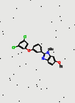 [CH2]COc1ccc2nc(-c3cccc(Oc4cc(Cl)cc(Cl)c4)c3)n(CCCC)c2c1